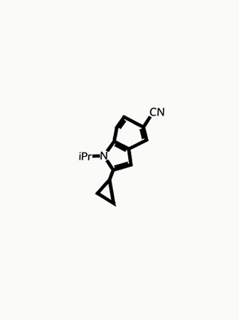 CC(C)n1c(C2CC2)cc2cc(C#N)ccc21